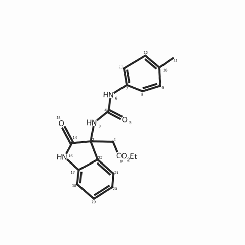 CCOC(=O)CC1(NC(=O)Nc2ccc(C)cc2)C(=O)Nc2ccccc21